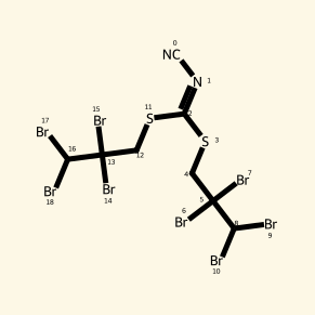 N#CN=C(SCC(Br)(Br)C(Br)Br)SCC(Br)(Br)C(Br)Br